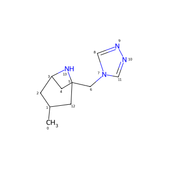 CC1CC2CC(Cn3cnnc3)(C1)N2